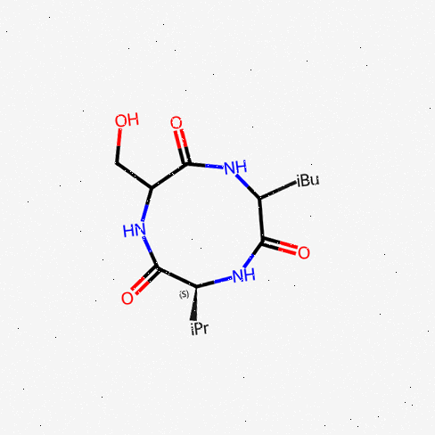 CCC(C)C1NC(=O)C(CO)NC(=O)[C@H](C(C)C)NC1=O